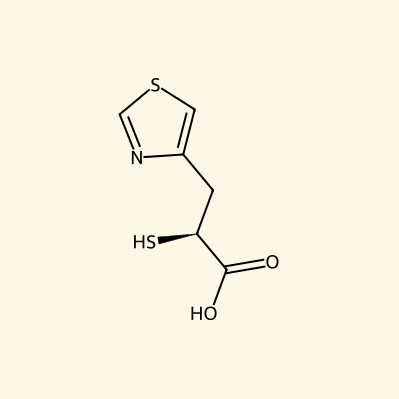 O=C(O)[C@@H](S)Cc1cscn1